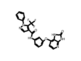 O=C(Nc1cccc(Oc2ccnc3[nH]c(=O)[nH]c23)c1)c1cnn(-c2ccccc2)c1C(F)(F)F